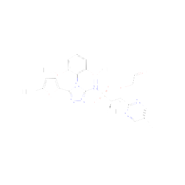 COc1cccc(OC)c1-n1c(NS(=O)(=O)[C@H](C)[C@H](OCC=O)c2ncc(C)cn2)nnc1-c1ccc(C)o1